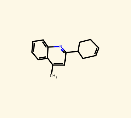 Cc1cc(C2CC=CCC2)nc2ccccc12